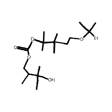 CCC(C)(C)OCCC(C)(C)C(C)(C)OC(=O)OCC(C)C(C)(C)O